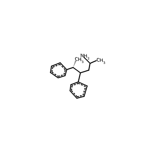 CC(N)CC(c1ccccc1)[C@@H](C)c1ccccc1